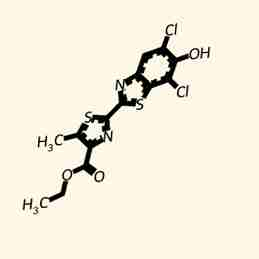 CCOC(=O)c1nc(-c2nc3cc(Cl)c(O)c(Cl)c3s2)sc1C